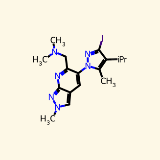 Cc1c(C(C)C)c(I)nn1-c1cc2cn(C)nc2nc1CN(C)C